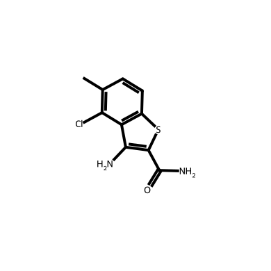 Cc1ccc2sc(C(N)=O)c(N)c2c1Cl